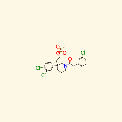 CS(=O)(=O)OCCC1(c2ccc(Cl)c(Cl)c2)CCCN(C(=O)Cc2cccc(Cl)c2)C1